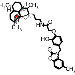 Cc1ccc2oc(=O)n(Cc3ccc(OCC(=O)NCCC[C@@H]4O[C@@H]5O[C@@]6(C)CC[C@H]7[C@H](C)CC[C@@H]([C@H]4C)[C@@]57OO6)c(O)c3)c2c1